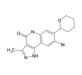 Cc1n[nH]c2c1C(=O)[N]c1cc(C3CCCCO3)c(Br)cc1-2